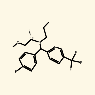 CCCN(C(c1ccc(F)cc1)c1ccc(C(F)(F)F)cn1)[C@@H](C)COC